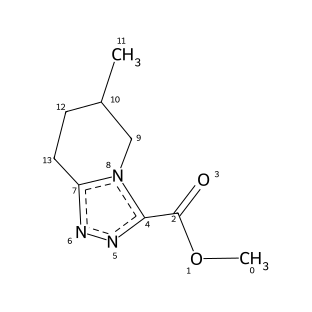 COC(=O)c1nnc2n1CC(C)CC2